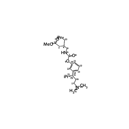 COC(=O)CC(CNC(=O)Oc1cccc([C@@H](CCN(C)C)C(C)C)c1)CC(C)C